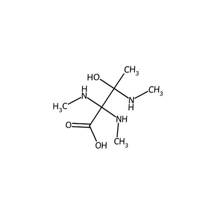 CNC(C)(O)C(NC)(NC)C(=O)O